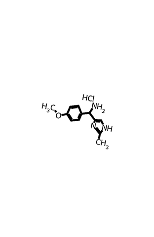 COc1ccc(C(N)c2c[nH]c(C)n2)cc1.Cl